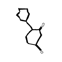 O=C1CCC(C2CCCCC2)C(=O)C1